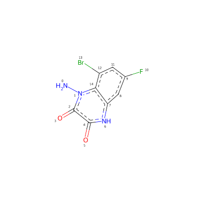 Nn1c(=O)c(=O)[nH]c2cc(F)cc(Br)c21